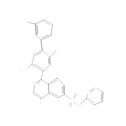 COc1cc(-c2cccc(F)c2)c(Cl)cc1-c1nccc2cc(S(=O)(=O)Nc3cccnn3)ccc12